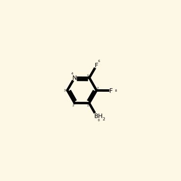 Bc1ccnc(F)c1F